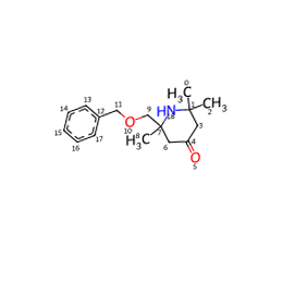 CC1(C)CC(=O)CC(C)(COCc2ccccc2)N1